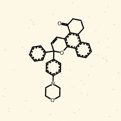 O=C1CCCc2c1c1c(c3ccccc23)OC(c2ccccc2)(c2ccc(N3CCOCC3)cc2)C=C1